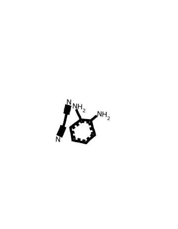 N#CC#N.Nc1ccccc1N